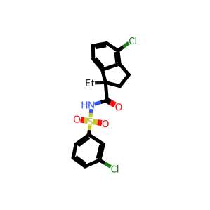 CCC1(C(=O)NS(=O)(=O)c2cccc(Cl)c2)CCc2c(Cl)cccc21